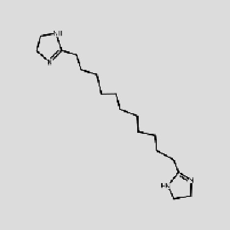 C(CCCCCC1=NCCN1)CCCCCC1=NCCN1